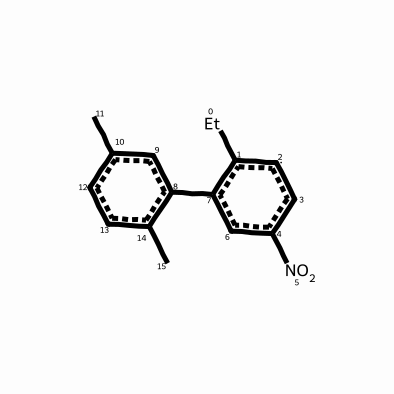 CCc1[c]cc([N+](=O)[O-])cc1-c1cc(C)ccc1C